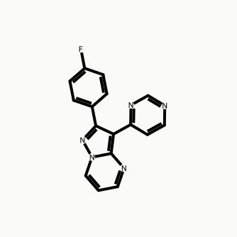 Fc1ccc(-c2nn3cccnc3c2-c2ccncn2)cc1